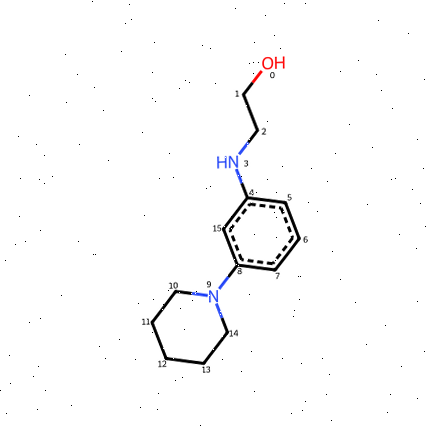 OCCNc1cccc(N2CCCCC2)c1